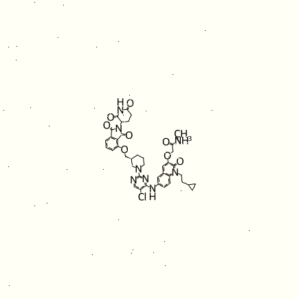 CNC(=O)COc1cc2cc(Nc3nc(N4CCC[C@H](COc5cccc6c5C(=O)N(C5CCC(=O)NC5=O)C6=O)C4)ncc3Cl)ccc2n(CCC2CC2)c1=O